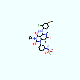 CSc1ccc(Nc2c3c(=O)n(C4CC4)c(=O)n(-c4cccc(NS(C)(=O)=O)c4)c3c(C)c(=O)n2C)c(F)c1